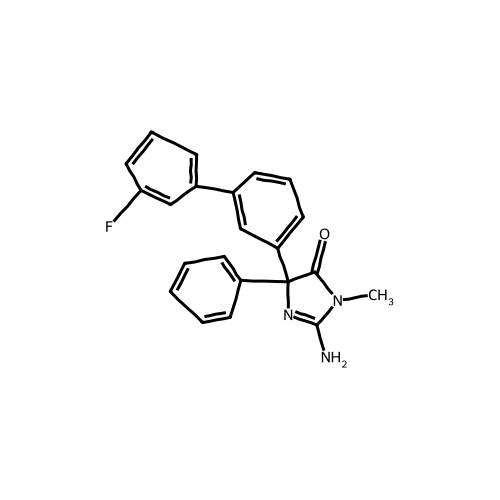 CN1C(=O)C(c2ccccc2)(c2cccc(-c3cccc(F)c3)c2)N=C1N